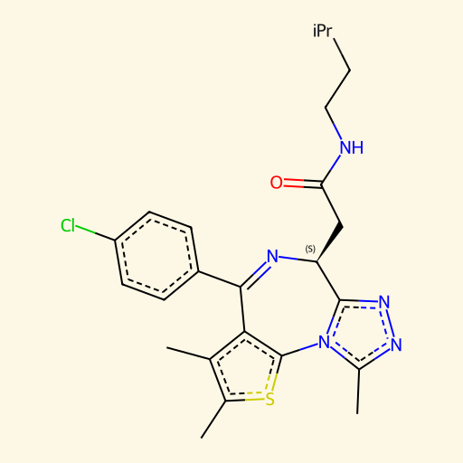 Cc1sc2c(c1C)C(c1ccc(Cl)cc1)=N[C@@H](CC(=O)NCCC(C)C)c1nnc(C)n1-2